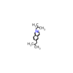 CC(C)Cc1ccc2c[n+](CC(C)C)ccc2c1